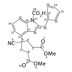 COC(=O)CCC(C#N)(CCC(=O)OC)c1cccc2c1cc(Cc1ccccc1)n2C(=O)O